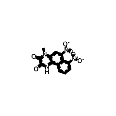 Cn1c(=O)c(=O)[nH]c2c3cccc([N+](=O)[O-])c3c([N+](=O)[O-])cc21